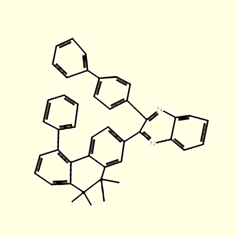 CC1(C)c2cc(-c3nc4ccccc4nc3-c3ccc(-c4ccccc4)cc3)ccc2-c2c(-c3ccccc3)cccc2C1(C)C